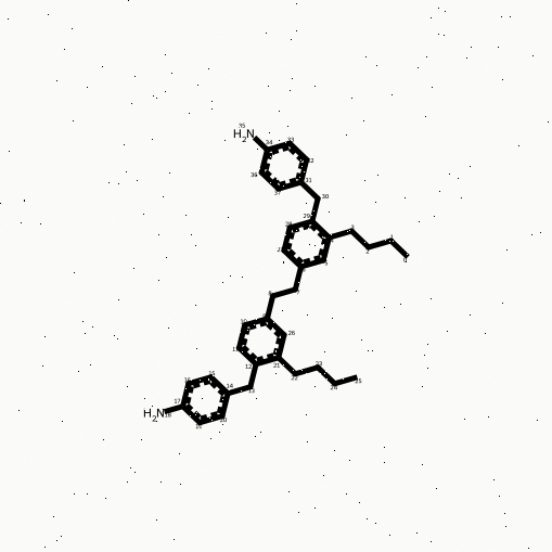 CCCCc1cc(CCc2ccc(Cc3ccc(N)cc3)c(CCCC)c2)ccc1Cc1ccc(N)cc1